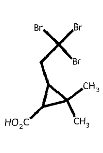 CC1(C)C(CC(Br)(Br)Br)C1C(=O)O